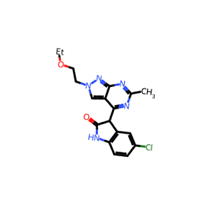 CCOCCn1cc2c(C3C(=O)Nc4ccc(Cl)cc43)nc(C)nc2n1